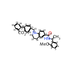 COc1ccccc1C(C)NC(=O)c1ccc2c(c1)CCCN2Cc1ccc(-c2ccccc2C(=O)O)cc1